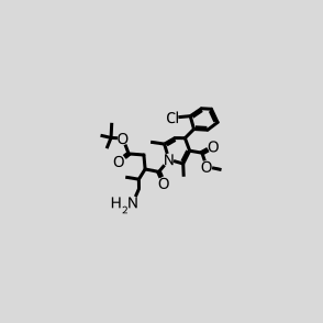 COC(=O)C1=C(C)N(C(=O)C(CC(=O)OC(C)(C)C)C(C)CN)C(C)=CC1c1ccccc1Cl